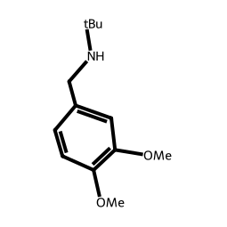 COc1ccc(CNC(C)(C)C)cc1OC